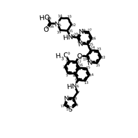 Cc1ccc2c(NCc3cscn3)cccc2c1Oc1ncccc1-c1ccnc(NC2CCCN(C(=O)O)C2)n1